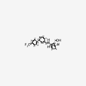 OC[C@@H]1[C@H]2CC[C@H](C2)[C@@H]1NCc1ccnc(-c2ccc(C(F)(F)F)cc2)n1